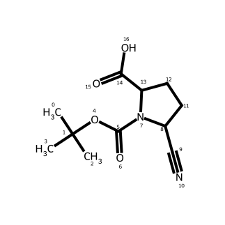 CC(C)(C)OC(=O)N1C(C#N)CCC1C(=O)O